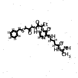 CCC(C(=O)NCC(=O)CSCc1ccccc1)n1ccnc(NCCCC(=O)NC(C)=N)c1=O